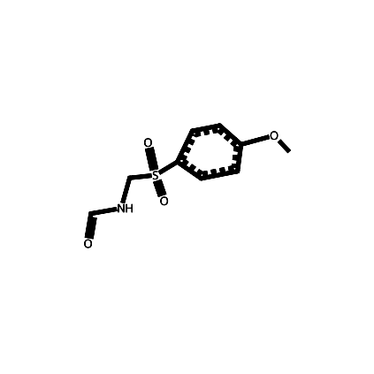 COc1ccc(S(=O)(=O)CNC=O)cc1